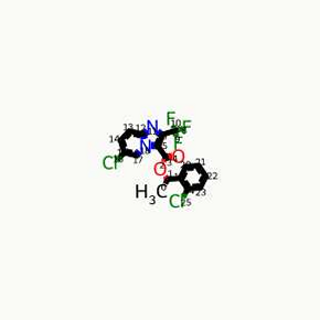 CC(OC(=O)c1c(C(F)(F)F)nc2ccc(Cl)cn12)c1ccccc1Cl